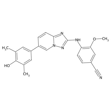 COc1cc(C#N)ccc1Nc1nc2ccc(-c3cc(C)c(O)c(C)c3)cn2n1